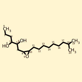 CCCC(O)C(O)CC1OC1CCCCCCCC(C)C